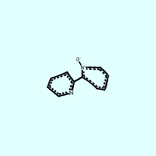 [O-][n+]1cc[c]cc1-c1ccccn1